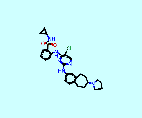 O=S(=O)(NC1CC1)c1ccccc1Nc1nc(Nc2ccc3c(c2)CCC(N2CCCC2)CC3)ncc1Cl